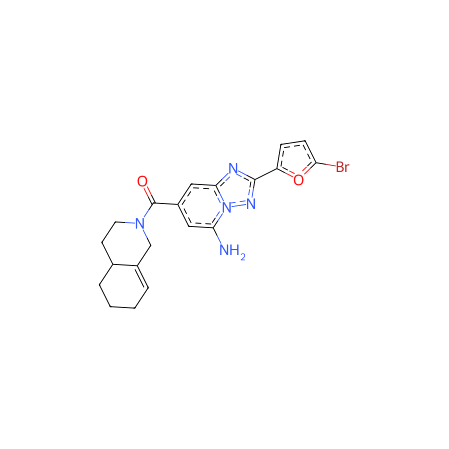 Nc1cc(C(=O)N2CCC3CCCC=C3C2)cc2nc(-c3ccc(Br)o3)nn12